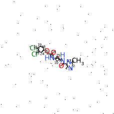 Cc1cncc(C(=O)NC23CC(NC(=O)COc4ccc(Cl)c(Cl)c4)(C2)C3)n1